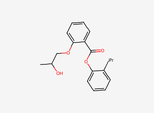 CC(O)COc1ccccc1C(=O)Oc1ccccc1C(C)C